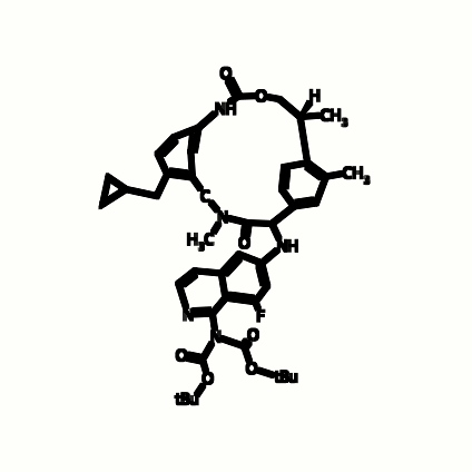 Cc1cc2ccc1[C@@H](C)COC(=O)Nc1ccc(CC3CC3)c(c1)CN(C)C(=O)C2Nc1cc(F)c2c(N(C(=O)OC(C)(C)C)C(=O)OC(C)(C)C)nccc2c1